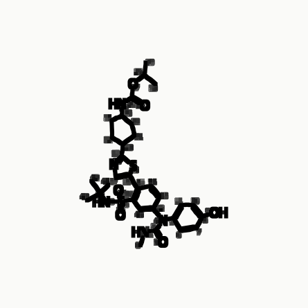 CNC(=O)N(c1ccc(O)cc1)c1ccc(-c2cnc(C3CCC(NC(=O)OC(C)C)CC3)s2)c(S(=O)(=O)NC(C)(C)C)c1